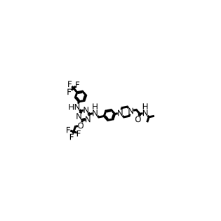 CC(C)NC(=O)CN1CCN(c2ccc(CNc3nc(Nc4cccc(C(F)(F)F)c4)nc(OCC(F)(F)F)n3)cc2)CC1